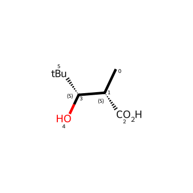 C[C@H](C(=O)O)[C@H](O)C(C)(C)C